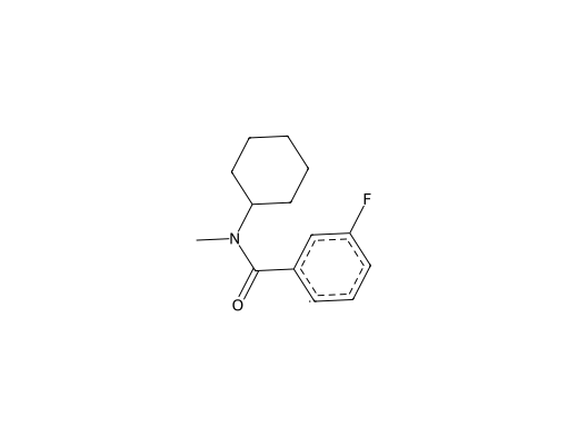 CN(C(=O)c1[c]ccc(F)c1)C1CCCCC1